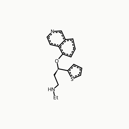 CCNCC[C@@H](Oc1cccc2cnccc12)c1cccs1